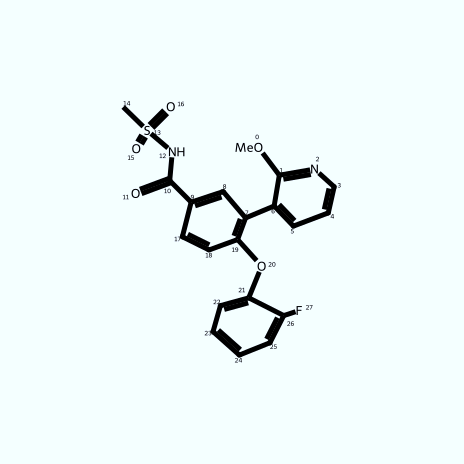 COc1ncccc1-c1cc(C(=O)NS(C)(=O)=O)ccc1Oc1ccccc1F